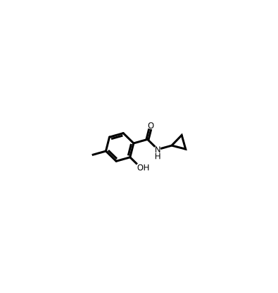 Cc1ccc(C(=O)NC2CC2)c(O)c1